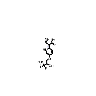 CC(C)C(=O)/C(C=N)=C1\C=CC(OCC(O)C(F)(F)P)=CN1